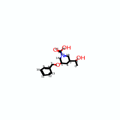 CC(O)C1CC(OCc2ccccc2)CN(C(=O)O)C1